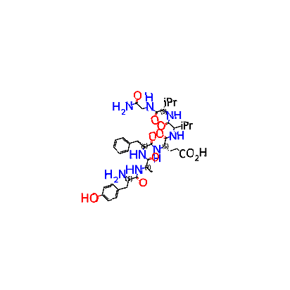 CC(C)C(NC(=O)[C@H](CCC(=O)O)NC(=O)[C@H](Cc1ccccc1)NC(=O)[C@@H](C)NC(=O)[C@@H](N)Cc1ccc(O)cc1)C(=O)N[C@H](C(=O)NCC(N)=O)C(C)C